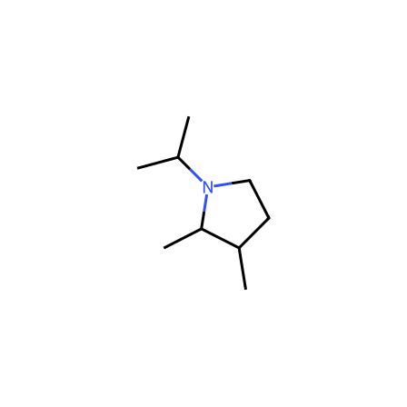 CC1CCN(C(C)C)C1C